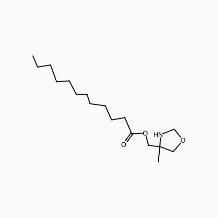 CCCCCCCCCCCC(=O)OCC1(C)COCN1